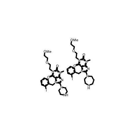 COCCOCCn1c(=O)c2c(nc(N3CCCNCC3)n2Cc2ccccc2I)n(C)c1=O.COCCOCCn1c(=O)c2c(nc(N3CCNCC3)n2Cc2ccccc2I)n(C)c1=O